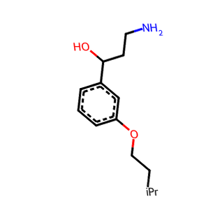 CC(C)CCOc1cccc(C(O)CCN)c1